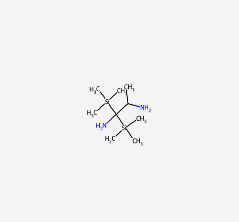 CC(N)C(N)([Si](C)(C)C)[Si](C)(C)C